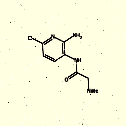 CNCC(=O)Nc1ccc(Cl)nc1N